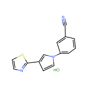 Cl.N#Cc1cccc(-n2ccc(-c3nccs3)c2)c1